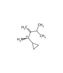 C=C(C(C)C)[C@H](N)C1CC1